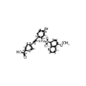 COc1ccc(S(=O)(=O)Nc2cc(Br)ccc2C#Cc2ccc(C(=O)O)nc2)c2ncccc12